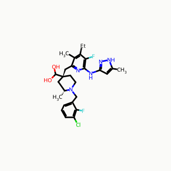 CCc1c(C)c(C[C@@]2(C(O)O)CCN(Cc3cccc(Cl)c3F)[C@H](C)C2)nc(Nc2cc(C)[nH]n2)c1F